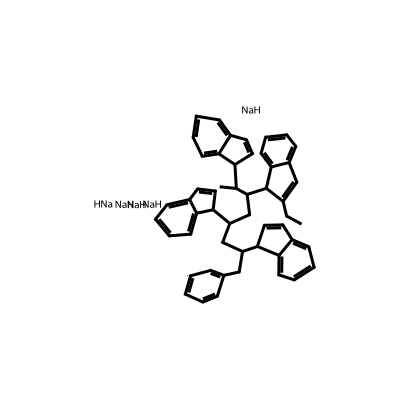 CCC1=Cc2ccccc2C1C(CC(CC(Cc1c[c]ccc1)C1C=Cc2ccccc21)C1C=Cc2ccccc21)C(C)C1C=Cc2ccccc21.[NaH].[NaH].[NaH].[NaH].[NaH]